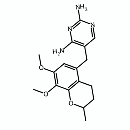 COc1cc(Cc2cnc(N)nc2N)c2c(c1OC)OC(C)CC2